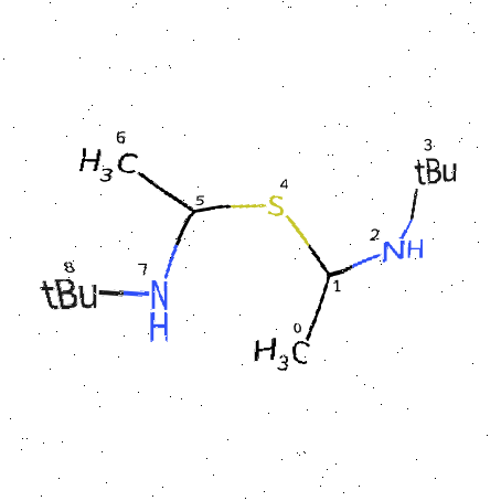 CC(NC(C)(C)C)SC(C)NC(C)(C)C